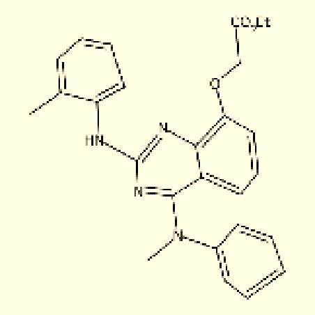 CCOC(=O)COc1cccc2c(N(C)c3ccccc3)nc(Nc3ccccc3C)nc12